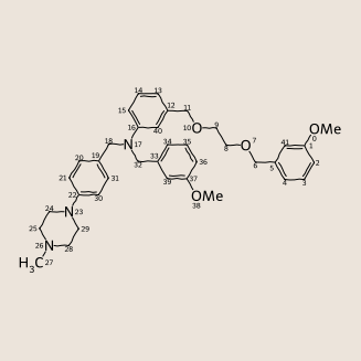 COc1cccc(COCCOCc2cccc(N(Cc3ccc(N4CCN(C)CC4)cc3)Cc3cccc(OC)c3)c2)c1